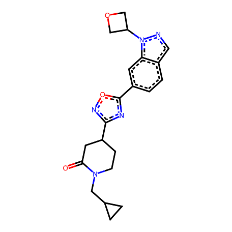 O=C1CC(c2noc(-c3ccc4cnn(C5COC5)c4c3)n2)CCN1CC1CC1